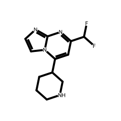 FC(F)c1cc(C2CCCNC2)n2ccnc2n1